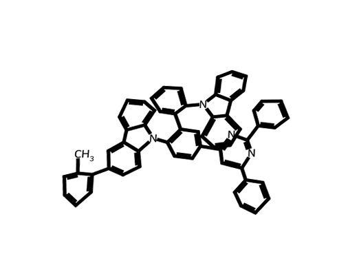 Cc1ccccc1-c1ccc2c(c1)c1ccccc1n2-c1ccc(-c2cc(-c3ccccc3)nc(-c3ccccc3)n2)cc1-c1ccccc1-n1c2ccccc2c2ccccc21